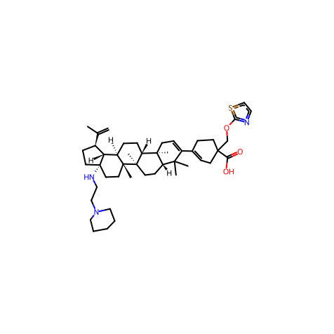 C=C(C)[C@@H]1CC[C@]2(NCCN3CCCCC3)CC[C@]3(C)[C@H](CC[C@@H]4[C@@]5(C)CC=C(C6=CCC(COc7nccs7)(C(=O)O)CC6)C(C)(C)[C@@H]5CC[C@]43C)[C@@H]12